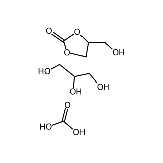 O=C(O)O.O=C1OCC(CO)O1.OCC(O)CO